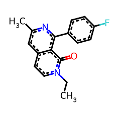 CCn1ccc2cc(C)nc(-c3ccc(F)cc3)c2c1=O